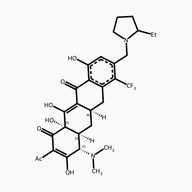 CCC1CCCN1Cc1cc(O)c2c(c1C(F)(F)F)C[C@H]1C[C@H]3[C@H](N(C)C)C(O)=C(C(C)=O)C(=O)[C@@]3(O)C(O)=C1C2=O